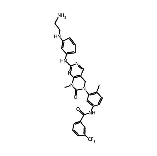 Cc1ccc(NC(=O)c2cccc(C(F)(F)F)c2)cc1N1Cc2cnc(Nc3cccc(NCCN)c3)nc2N(C)C1=O